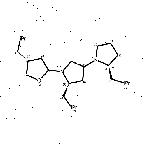 CC(C)C[C@H]1COC(N2CC(N3CCC[C@H]3CC(C)C)C[C@H]2CC(C)C)C1